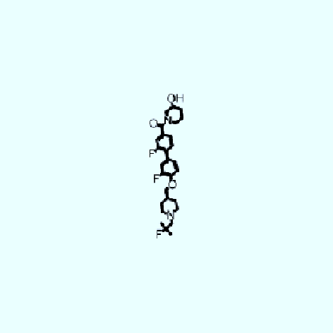 CC(C)(F)CN1CCC(COc2ccc(-c3ccc(C(=O)N4CCCC(O)C4)cc3F)cc2F)CC1